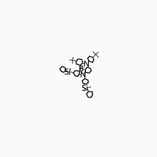 CC(C)(C)c1ccc(N2c3ccc(C(C)(C)C)cc3B3c4cc([Si](C)(C)c5ccccc5)ccc4N(c4ccc([Si](C)(C)c5ccccc5)cc4)c4cccc2c43)cc1